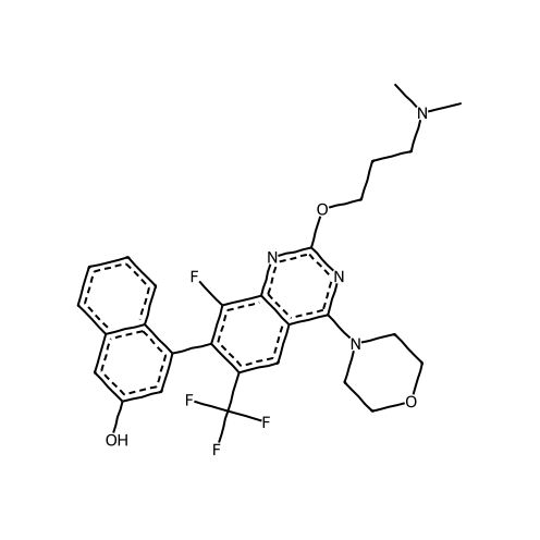 CN(C)CCCOc1nc(N2CCOCC2)c2cc(C(F)(F)F)c(-c3cc(O)cc4ccccc34)c(F)c2n1